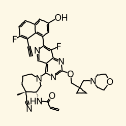 C#Cc1c(F)ccc2cc(O)cc(-c3ncc4c(N5CCC[C@@](C)(C#N)[C@@H](NC(=O)C=C)C5)nc(OCC5(CN6CCOCC6)CC5)nc4c3F)c12